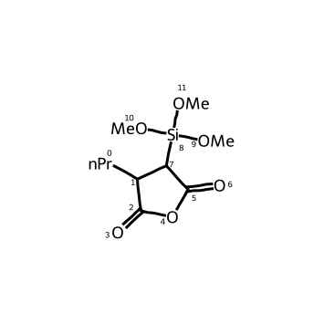 CCCC1C(=O)OC(=O)C1[Si](OC)(OC)OC